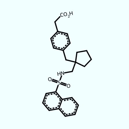 O=C(O)Cc1ccc(CC2(CNS(=O)(=O)c3cccc4ccccc34)CCCC2)cc1